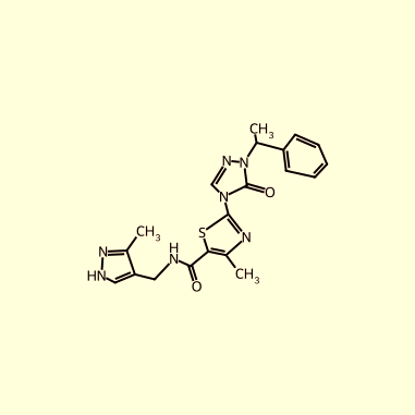 Cc1n[nH]cc1CNC(=O)c1sc(-n2cnn(C(C)c3ccccc3)c2=O)nc1C